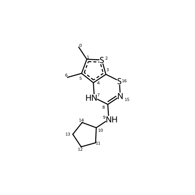 Cc1sc2c(c1C)NC(NC1CCCC1)=NS2